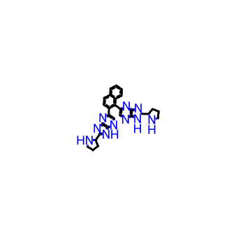 c1ccc2c(-c3cnc4[nH]c(C5CCCN5)nc4n3)c(-c3cnc4[nH]c(C5CCCN5)nc4n3)ccc2c1